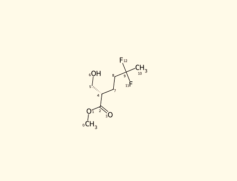 COC(=O)[C@H](CO)CCC(C)(F)F